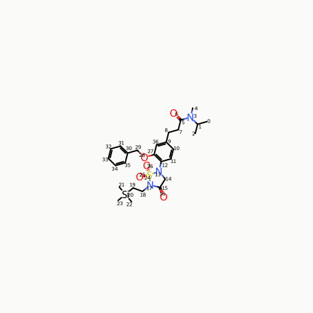 CC(C)N(C)C(=O)CCc1ccc(N2CC(=O)N(CC[Si](C)(C)C)S2(=O)=O)c(OCc2ccccc2)c1